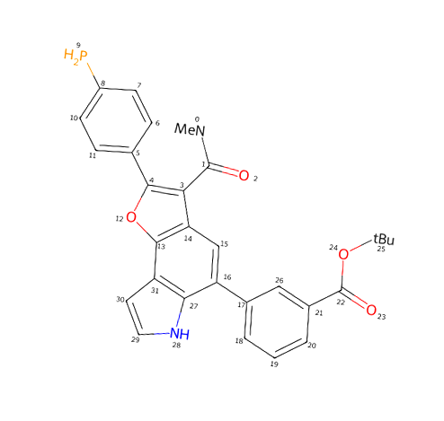 CNC(=O)c1c(-c2ccc(P)cc2)oc2c1cc(-c1cccc(C(=O)OC(C)(C)C)c1)c1[nH]ccc12